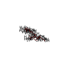 CCN(C(=O)CN)C1COC(OC2C(O[C@H]3C#C/C=C\C#C[C@]4(O)CC(=O)C(NC(=O)OC)C3/C4=C\CSSC(C)CCC(=O)NCC(O)CO)OC(C)C(NOC3CC(O)C(SC(=O)c4c(C)c(I)c(OC5OC(C)C(O)C(OC)C5O)c(OC)c4OC)C(C)O3)C2O)CC1OC